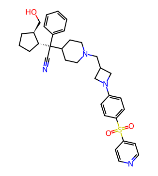 N#CC(c1ccccc1)(C1CCN(CC2CN(c3ccc(S(=O)(=O)c4ccncc4)cc3)C2)CC1)[C@@H]1CCC[C@H]1CO